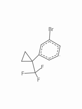 FC(F)(F)C1(c2c[c]cc(Br)c2)CC1